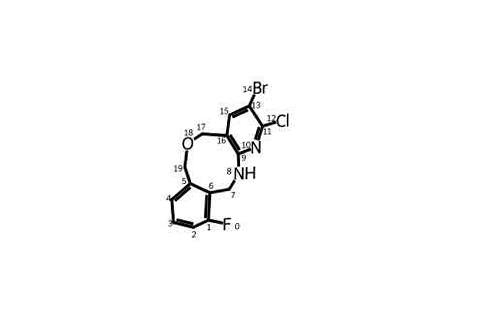 Fc1cccc2c1CNc1nc(Cl)c(Br)cc1COC2